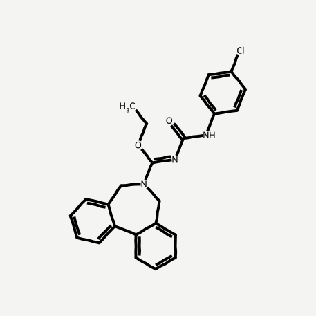 CCOC(=NC(=O)Nc1ccc(Cl)cc1)N1Cc2ccccc2-c2ccccc2C1